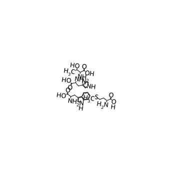 CC(O)C(N)C(=O)O.CSCCC(N)C(=O)O.NC(Cc1c[nH]c2ccccc12)C(=O)O.NC(Cc1c[nH]cn1)C(=O)O